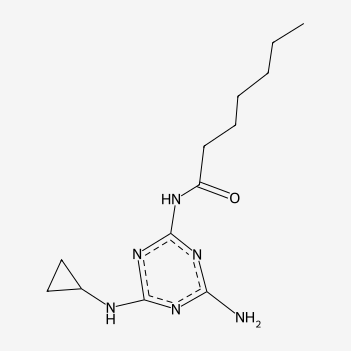 CCCCCCC(=O)Nc1nc(N)nc(NC2CC2)n1